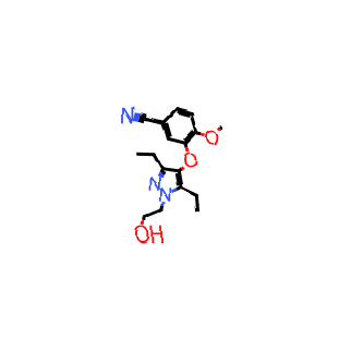 CCc1nn(CCO)c(CC)c1Oc1cc(C#N)ccc1OC